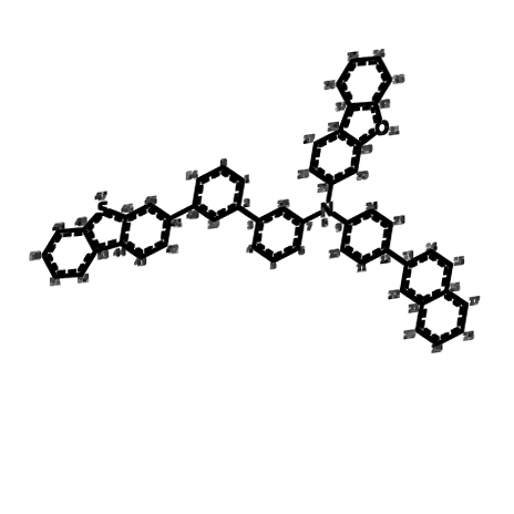 c1cc(-c2cccc(N(c3ccc(-c4ccc5ccccc5c4)cc3)c3ccc4c(c3)oc3ccccc34)c2)cc(-c2ccc3c(c2)sc2ccccc23)c1